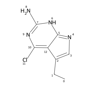 CCc1cnc2[nH]c(N)nc(Cl)c1-2